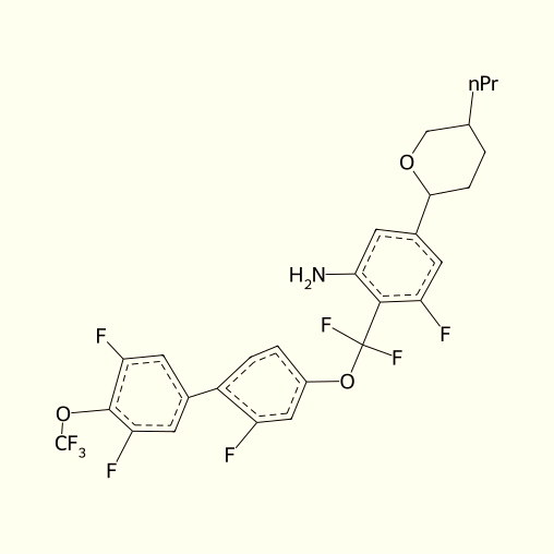 CCCC1CCC(c2cc(N)c(C(F)(F)Oc3ccc(-c4cc(F)c(OC(F)(F)F)c(F)c4)c(F)c3)c(F)c2)OC1